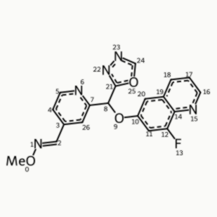 CO/N=C/c1ccnc(C(Oc2cc(F)c3ncccc3c2)c2nnco2)c1